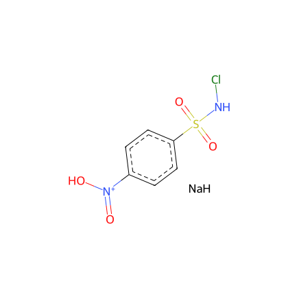 O=[N+](O)c1ccc(S(=O)(=O)NCl)cc1.[NaH]